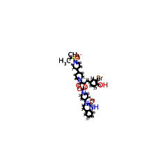 CC(C)[S+]([O-])N1CCC(C2CCN(C(=O)[C@@H](Cc3ccc(O)c(Br)c3)OC(=O)N3CCC(N4CCc5ccccc5NC4=O)CC3)CC2)CC1